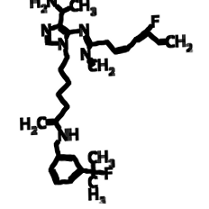 C=C/C(F)=C\C=C/C/C(N=C)=N/c1c(C(C)N)ncn1CCCCCC(=C)NCc1cccc(C(C)(C)F)c1